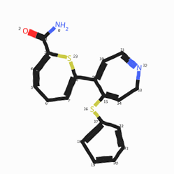 NC(=O)C1=C=CCC=C(C2=CC=NCC=C2Sc2ccccc2)S1